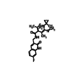 C=N/C(NC1(C)CC1)=C(\C)C(C(=O)NCc1cc2ccc(F)cc2[nH]c1=O)=C(C)C